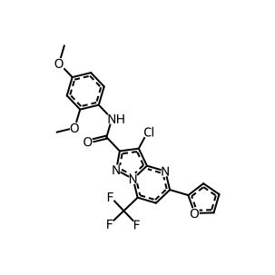 COc1ccc(NC(=O)c2nn3c(C(F)(F)F)cc(-c4ccco4)nc3c2Cl)c(OC)c1